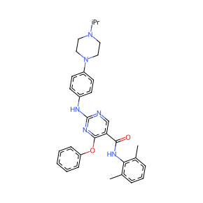 Cc1cccc(C)c1NC(=O)c1cnc(Nc2ccc(N3CCN(C(C)C)CC3)cc2)nc1Oc1ccccc1